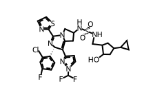 O=S(=O)(NCC1CC(C2CC2)CC1O)NC1CC2=C(c3ccn(C(F)F)n3)[C@H](c3ccc(F)cc3Cl)N=C(c3nccs3)N2C1